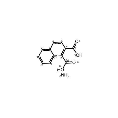 N.O=C(O)c1ccc2ccccc2c1C(=O)O